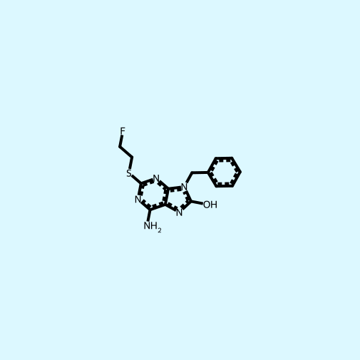 Nc1nc(SCCF)nc2c1nc(O)n2Cc1ccccc1